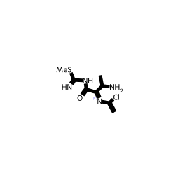 C=C(Cl)/N=C(/C(=O)NC(=N)SC)C(C)N